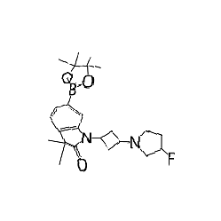 CC1(C)C(=O)N(C2CC(N3CCC(F)C3)C2)c2cc(B3OC(C)(C)C(C)(C)O3)ccc21